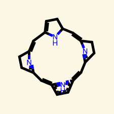 C1=C2/C=C3/CCC(=N3)/C=c3/cc/c([nH]3)=C/C3=NC(=C\C(C1)N2)/CC3